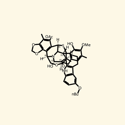 CCCCOc1ccc2[nH]c3c(c2c1)CCN[C@]31CS[C@@H]2c3c(OC(C)=O)c(C)c4c(c3[C@H](COC1=O)N1C2[C@@H]2c3c(cc(C)c(OC)c3O)C[C@@H]([C@@H]1O)N2C)OCO4